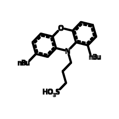 CCCCc1ccc2c(c1)N(CCCS(=O)(=O)O)c1c(CCCC)cccc1O2